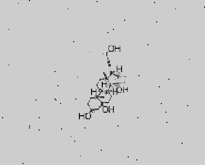 C[C@]12CC[C@H]3[C@@H](CC[C@]4(O)C[C@@H](O)CC[C@]34C)[C@@H]1[C@]1(O)CC[C@@H]1[C@H]2C#CCO